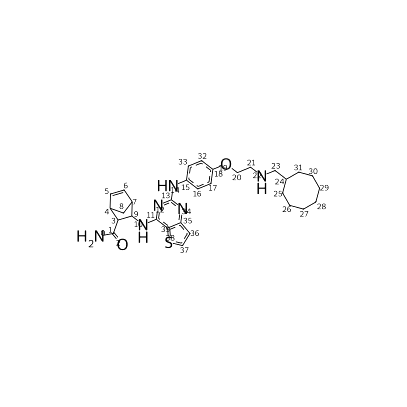 NC(=O)C1C2C=CC(C2)C1Nc1nc(Nc2ccc(OCCNCC3CCCCCCC3)cc2)nc2ccsc12